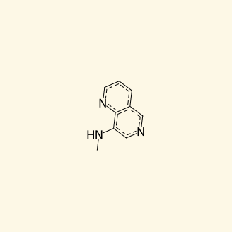 CNc1cncc2cccnc12